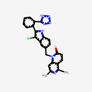 Cc1cc2c(ccc(=O)n2Cc2ccc3[nH]c(-c4ccccc4-c4nnn[nH]4)c(Br)c3c2)c(C)n1